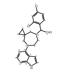 O=CC(c1ccc(Cl)cc1Cl)N1CCN(c2ncnc3[nH]ccc23)CC2(CC2)C1